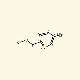 ClOCc1ccc(Br)cn1